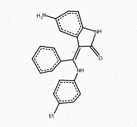 CCc1ccc(N/C(=C2\C(=O)Nc3ccc(N)cc32)c2ccccc2)cc1